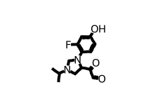 CC(C)N1CC(C(=O)C=O)N(c2ccc(O)cc2F)C1